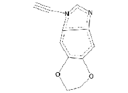 C#Cn1cnc2cc3c(cc21)OCCO3